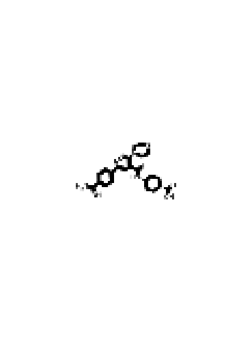 N=C(N)c1ccc(-c2cc(C(=O)N[C@H]3CC[C@H](C(=O)O)CC3)c(N3CCSCC3)nn2)cc1